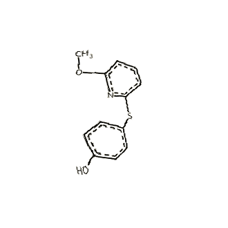 COc1cccc(Sc2ccc(O)cc2)n1